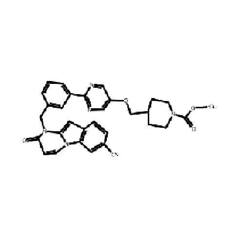 CC(C)(C)OC(=O)N1CCC(COc2cnc(-c3cccc(Cn4c(=O)ccn5c6cc(C#N)ccc6cc45)c3)nc2)CC1